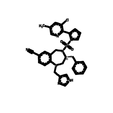 Cc1cnc(-c2cccn2S(=O)(=O)N2Cc3cc(C#N)ccc3N(Cc3c[nH]cn3)C[C@H]2Cc2ccccc2)c(Cl)c1